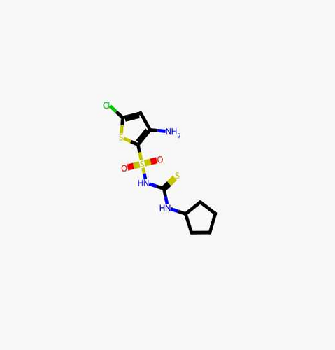 Nc1cc(Cl)sc1S(=O)(=O)NC(=S)NC1CCCC1